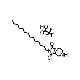 CCCCCCCCCCCCCCN1C(=O)C2CNCCN2C1=O.O=C(O)C(F)(F)F